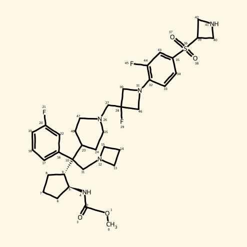 COC(=O)N[C@H]1CCC[C@@H]1C(CN1CCC1)(c1cccc(F)c1)C1CCN(CC2(F)CN(c3ccc(S(=O)(=O)C4CNC4)cc3F)C2)CC1